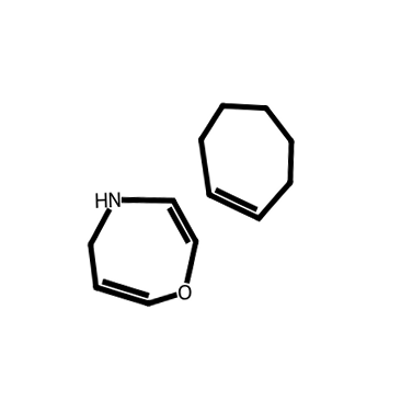 C1=CCCCCC1.C1=COC=CNC1